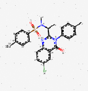 Cc1ccc(-n2c(C(C)N(C)S(=O)(=O)c3ccc(C(C)(C)C)cc3)nc3ccc(Br)cc3c2=O)cc1